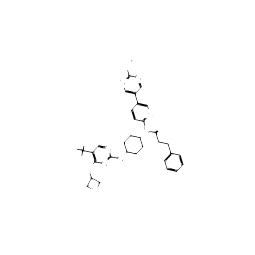 COc1ncc(-c2ccc(N(C(=O)CCc3ccccc3)[C@H]3CC[C@H](Nc4ncc(C(F)(F)F)c(OC5COC5)n4)CC3)nc2)cn1